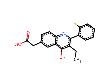 CCc1c(-c2ccccc2F)nc2ccc(CC(=O)O)cc2c1O